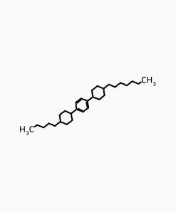 CCCCCCCC1CCC(c2ccc(C3CCC(CCCCC)CC3)cc2)CC1